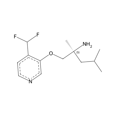 CC(C)C[C@](C)(N)COc1cnccc1C(F)F